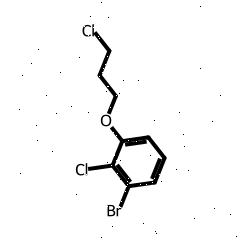 ClCCCOc1cccc(Br)c1Cl